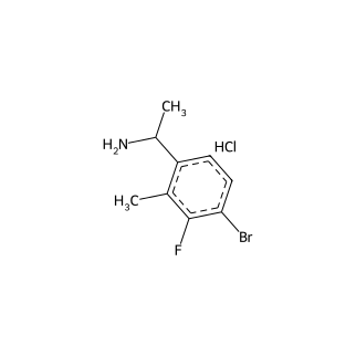 Cc1c(C(C)N)ccc(Br)c1F.Cl